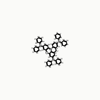 c1ccc(N(c2ccccc2)c2ccc3c(c2)Cc2cc(N(c4ccccc4)c4ccccc4)cc4c2N3c2ccc(N(c3ccccc3)c3ccccc3)cc2O4)cc1